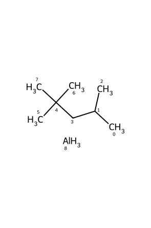 CC(C)CC(C)(C)C.[AlH3]